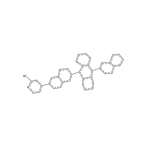 N#Cc1cc(-c2ccc3cc(-c4c5ccccc5c(-c5ccc6ccccc6c5)c5ccccc45)ccc3c2)ccn1